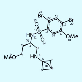 COCC[C@H](CNC12CC(C1)C2)NS(=O)(=O)c1cc(OC)c(Br)cc1Br